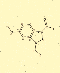 CCN1CC(C(C)=O)c2ccc(OC)cc21